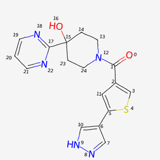 O=C(c1csc(-c2cn[nH]c2)c1)N1CCC(O)(c2ncccn2)CC1